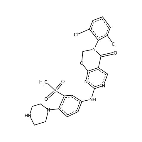 CS(=O)(=O)c1cc(Nc2ncc3c(n2)OCN(c2c(Cl)cccc2Cl)C3=O)ccc1N1CCNCC1